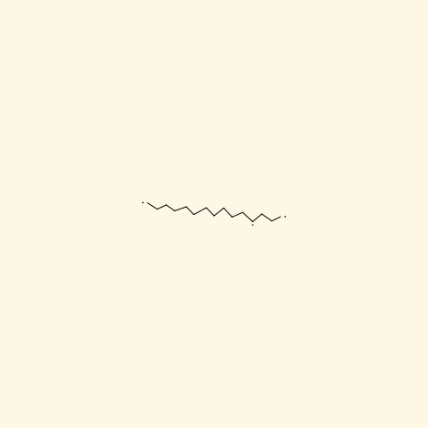 [CH2]CC[CH]CCCCCCCCCC[CH2]